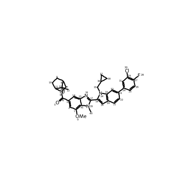 COc1cc(C(=O)N2CC3CCC2[C@@H]3C)cc2nc(-c3cc4ccc(-c5ccc(F)c(Cl)c5)cc4n3CC3CC3)n(C)c12